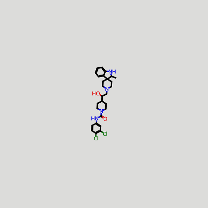 CC1Nc2ccccc2C12CCN(CC(O)C1CCN(C(=O)Nc3ccc(Cl)c(Cl)c3)CC1)CC2